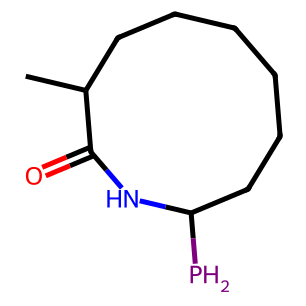 CC1CCCCCCC(P)NC1=O